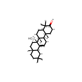 CC1(C)CC[C@]2(C)CC[C@@]3(C(=O)O)C(=CCC4[C@@]5(C)CCC(=O)C(C)(C)C5CC[C@]43C)C2C1